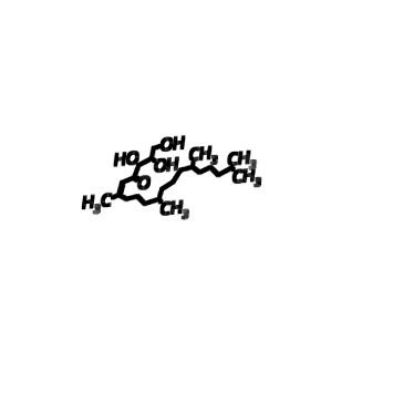 CC(=CC(=O)C(O)C(O)CO)CCCC(C)CCCC(C)CCCC(C)C